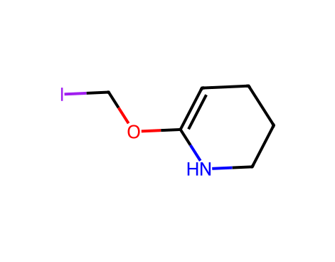 ICOC1=CCCCN1